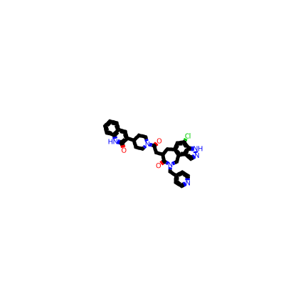 O=C(CC1Cc2cc(Cl)c3[nH]ncc3c2CN(Cc2ccncc2)C1=O)N1CCC(c2cc3ccccc3[nH]c2=O)CC1